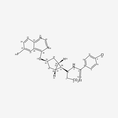 CCOC(=O)CC(NC(=O)c1ccc(Cl)cc1)[C@H]1[C@@H]2C[C@@H](Oc3ncnc4ccc(F)cc34)C[C@@H]21